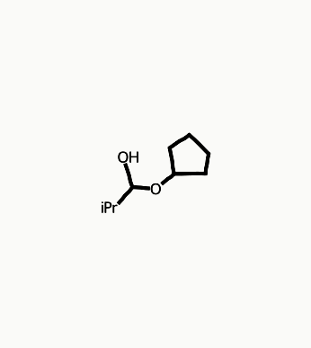 CC(C)C(O)OC1CCCC1